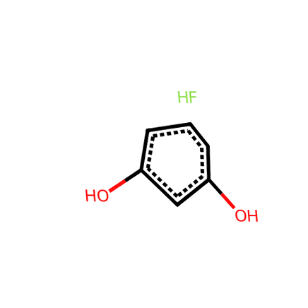 F.Oc1cccc(O)c1